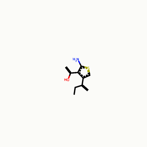 C=C(CC)c1csc(N)c1C(=C)O